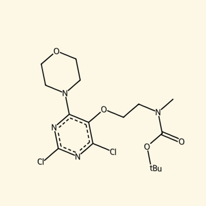 CN(CCOc1c(Cl)nc(Cl)nc1N1CCOCC1)C(=O)OC(C)(C)C